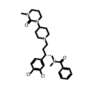 CN(C[C@@H](CCN1CCC(N2CCCN(C)C2=O)CC1)c1ccc(Cl)c(Cl)c1)C(=O)c1ccccc1